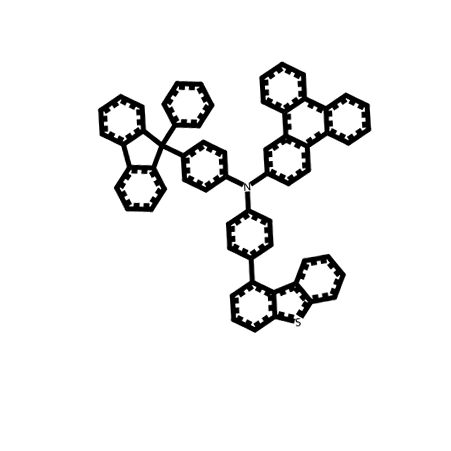 c1ccc(C2(c3ccc(N(c4ccc(-c5cccc6sc7ccccc7c56)cc4)c4ccc5c6ccccc6c6ccccc6c5c4)cc3)c3ccccc3-c3ccccc32)cc1